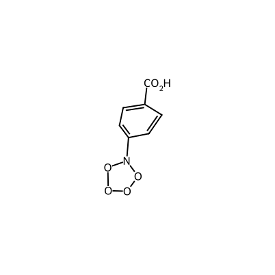 O=C(O)c1ccc(-n2oooo2)cc1